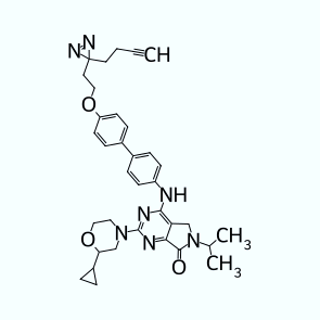 C#CCCC1(CCOc2ccc(-c3ccc(Nc4nc(N5CCOC(C6CC6)C5)nc5c4CN(C(C)C)C5=O)cc3)cc2)N=N1